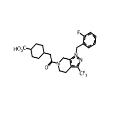 O=C(O)C1CCC(CC(=O)N2CCc3c(C(F)(F)F)nn(Cc4ccccc4F)c3C2)CC1